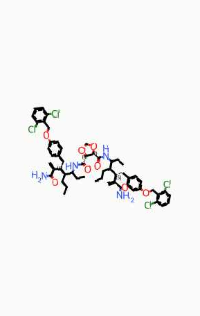 C=C(C(N)=O)[C@@H](Cc1ccc(OCc2c(Cl)cccc2Cl)cc1)C(CCC)C(CC)NC(=O)[C@@H]1OCO[C@H]1C(=O)NC(CC)C(CCC)[C@H](Cc1ccc(OCc2c(Cl)cccc2Cl)cc1)C(=C)C(N)=O